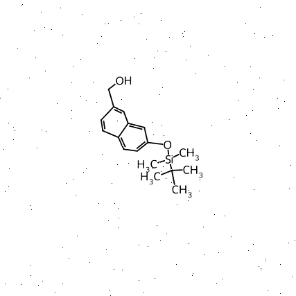 CC(C)(C)[Si](C)(C)Oc1ccc2ccc(CO)cc2c1